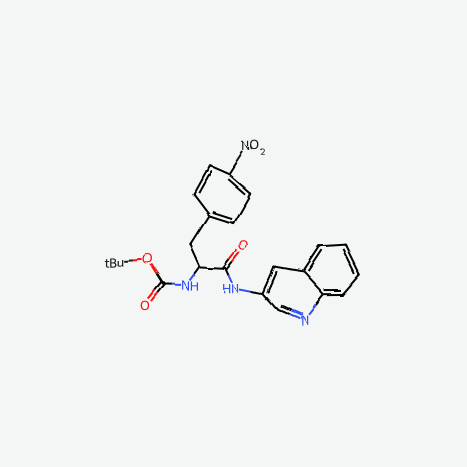 CC(C)(C)OC(=O)NC(Cc1ccc([N+](=O)[O-])cc1)C(=O)Nc1cnc2ccccc2c1